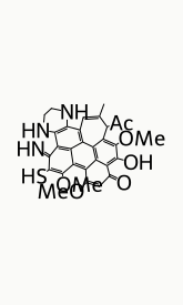 COc1c(O)c2c(=O)cc(OC)c3c4c(OC)c(S)c(=N)c5c6c(c7c(c(c1C(C(C)=O)C(C)=C7)c23)c54)NCCN6